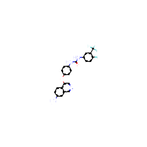 Nc1ccc2c(Oc3ccc(NC(=O)Nc4ccc(F)c(C(F)(F)F)c4)cc3)cncc2c1